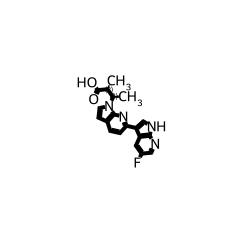 C[C@H]([C@@H](C)C(=O)O)n1ccc2ccc(-c3c[nH]c4ncc(F)cc34)nc21